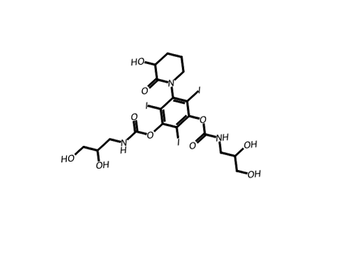 O=C(NCC(O)CO)Oc1c(I)c(OC(=O)NCC(O)CO)c(I)c(N2CCCC(O)C2=O)c1I